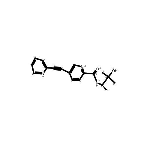 C[C@@H](NC(=O)c1ccc(C#Cc2ccccn2)cn1)C(C)(C)O